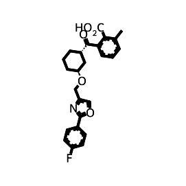 Cc1cccc(C(=O)[C@H]2CCC[C@@H](OCc3coc(-c4ccc(F)cc4)n3)C2)c1C(=O)O